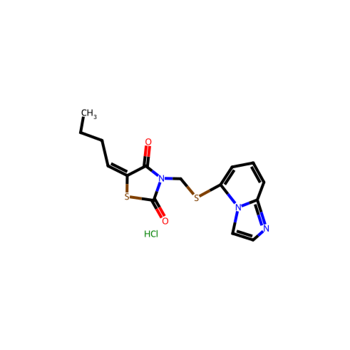 CCCC=C1SC(=O)N(CSc2cccc3nccn23)C1=O.Cl